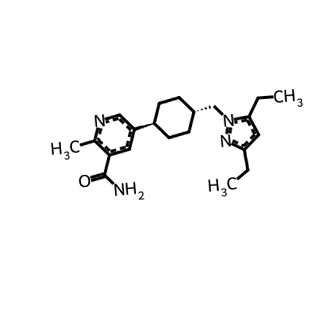 CCc1cc(CC)n(C[C@H]2CC[C@H](c3cnc(C)c(C(N)=O)c3)CC2)n1